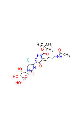 CC(=O)NCCCC[C@H](NC(=O)OC(C)(C)C)C(=O)Nc1nc(=O)n([C@@H]2O[C@H](CO)C(O)C2O)cc1F